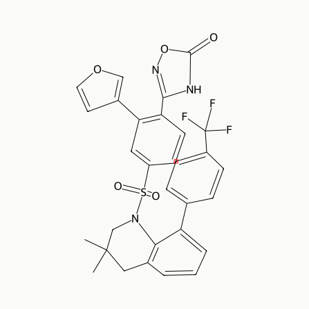 CC1(C)Cc2cccc(-c3ccc(C(F)(F)F)cc3)c2N(S(=O)(=O)c2ccc(-c3noc(=O)[nH]3)c(-c3ccoc3)c2)C1